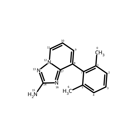 Cc1cccc(C)c1-c1cccn2nc(N)nc12